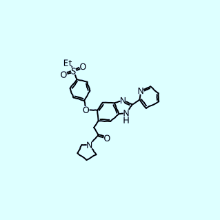 CCS(=O)(=O)c1ccc(Oc2cc3nc(-c4ccccn4)[nH]c3cc2CC(=O)N2CCCC2)cc1